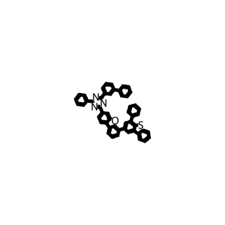 c1ccc(-c2cccc(-c3nc(-c4ccccc4)nc(-c4ccc5c(c4)oc4c(-c6cc(-c7ccccc7)c7sc8ccccc8c7c6)cccc45)n3)c2)cc1